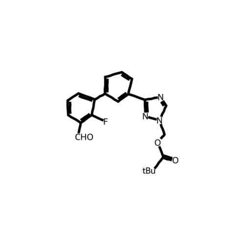 CC(C)(C)C(=O)OCn1cnc(-c2cccc(-c3cccc(C=O)c3F)c2)n1